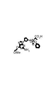 COCCOc1nc(N)nc2c1ncn2[C@H]1C=C[C@@H](CO[P@](=O)(N[C@@H](C)C(=O)O)Oc2ccccc2)C1